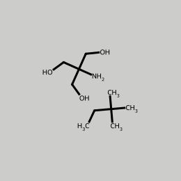 CCC(C)(C)C.NC(CO)(CO)CO